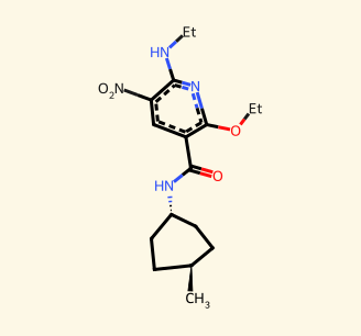 CCNc1nc(OCC)c(C(=O)N[C@H]2CC[C@H](C)CC2)cc1[N+](=O)[O-]